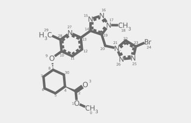 COC(=O)[C@H]1CCC[C@H](Oc2ccc(-c3nnn(C)c3Cn3cc(Br)nn3)nc2C)C1